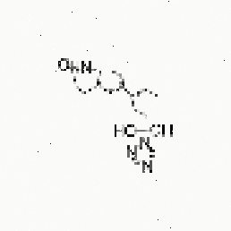 CC=C(CCC(O)(O)n1cncn1)c1ccc2c(c1)CCC(=O)N2